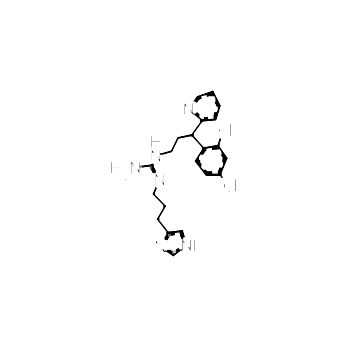 NC(=NCCCc1c[nH]cn1)NCCC(c1ccccn1)c1ccc(Cl)cc1Cl